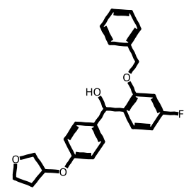 OC(c1ccc(OC2CCOC2)cc1)c1ccc(F)cc1OCc1ccccc1